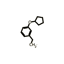 [CH2]Cc1cccc(OC2CCCC2)c1